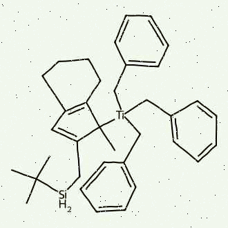 CC(C)(C)[SiH2]CC1=CC2=C(CCCC2)[C]1(C)[Ti]([CH2]c1ccccc1)([CH2]c1ccccc1)[CH2]c1ccccc1